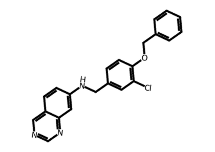 Clc1cc(CNc2ccc3cncnc3c2)ccc1OCc1ccccc1